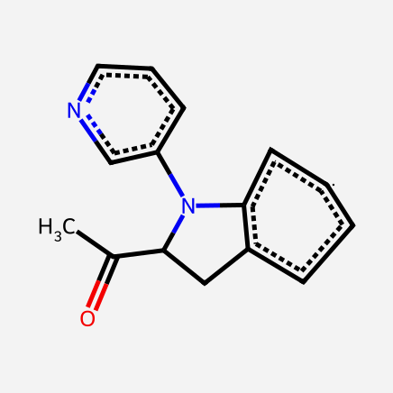 CC(=O)C1Cc2cc[c]cc2N1c1cccnc1